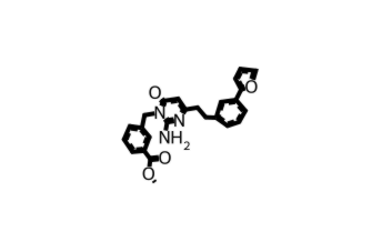 COC(=O)c1cccc(Cn2c(N)nc(CCc3cccc(-c4ccco4)c3)cc2=O)c1